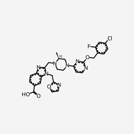 C[C@H]1CN(c2ccnc(OCc3ccc(Cl)cc3F)n2)CCN1Cc1nc2ccc(C(=O)O)cc2n1Cc1ncco1